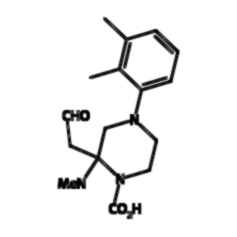 CNC1(CC=O)CN(c2cccc(C)c2C)CCN1C(=O)O